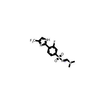 CN(C)/C=N/S(=O)(=O)c1ccc(-c2nc(C(F)(F)F)c[nH]2)c(F)c1